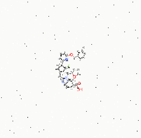 Cc1cccc(COc2cccc(-c3ccc(Cc4nc5ccc(C(=O)O)cc5n4CC4CCCO4)cc3F)n2)c1